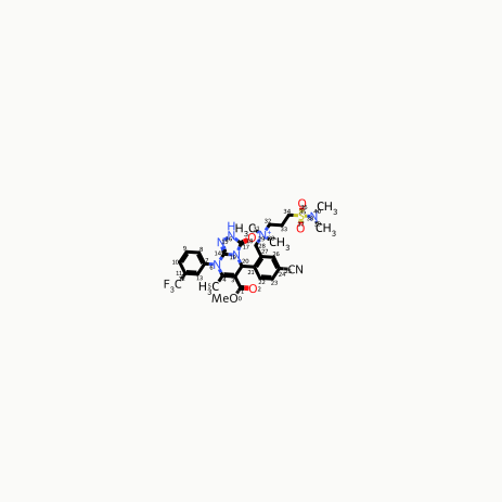 COC(=O)C1=C(C)N(c2cccc(C(F)(F)F)c2)c2n[nH]c(=O)n2C1c1ccc(C#N)cc1C[N+](C)(C)CCCS(=O)(=O)N(C)C